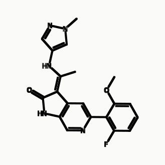 COc1cccc(F)c1-c1cc2c(cn1)NC(=O)/C2=C(/C)Nc1cnn(C)c1